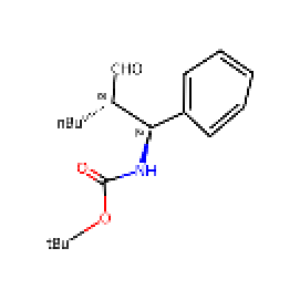 CCCC[C@H](C=O)[C@H](NC(=O)OC(C)(C)C)c1ccccc1